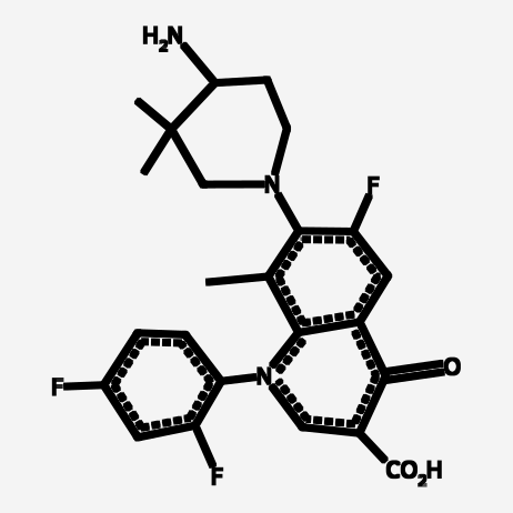 Cc1c(N2CCC(N)C(C)(C)C2)c(F)cc2c(=O)c(C(=O)O)cn(-c3ccc(F)cc3F)c12